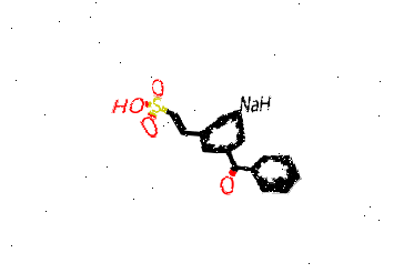 O=C(c1ccccc1)c1cccc(C=CS(=O)(=O)O)c1.[NaH]